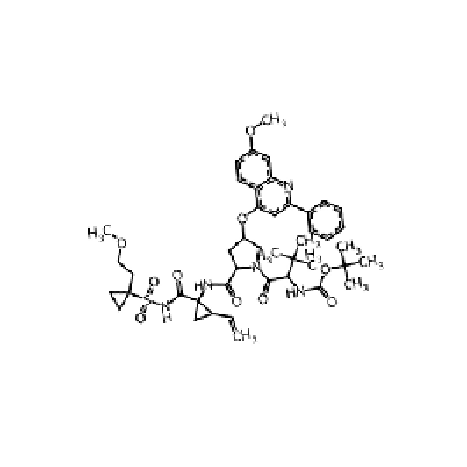 C=CC1CC1(NC(=O)C1CC(Oc2cc(-c3ccccc3)nc3cc(OC)ccc23)CN1C(=O)C(NC(=O)OC(C)(C)C)C(C)(C)C)C(=O)NS(=O)(=O)C1(CCOC)CC1